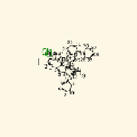 CCC1=Cc2c(-c3ccccc3)cccc2[CH]1[Zr+2]1([CH]2C(CC)=Cc3c(-c4ccccc4)cccc32)[CH2]C[CH2]1.[Cl-].[Cl-]